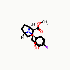 COC(=O)[C@H]1[C@@H](c2ccc(I)cc2)C[C@@H]2CC[C@@H]1N2CCCO